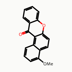 COc1cccc2c1ccc1oc3ccccc3c(=O)c12